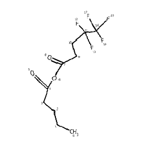 CCCCC(=O)OC(=O)CCC(F)(F)C(F)(F)F